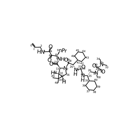 C=CCNC(=O)C(=O)[C@@H](CCC)NC(=O)[C@@H]1[C@@H]2[C@H](CN1C(=O)[C@@H](NC(=O)N[C@H](CN(C)S(=O)(=O)N(C)C)C1CCCCC1)C1CCCCC1)C2(C)C